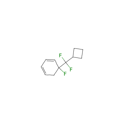 FC1(C(F)(F)C2CCC2)C=CC=CC1